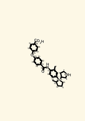 Cc1cc([N+]2(C3CCNC3)CCCC2C)ccc1NC(=O)c1ccc(Oc2ccc(C(=O)O)cc2)cc1